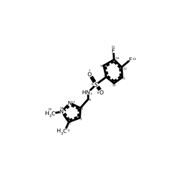 Cc1cc(CNS(=O)(=O)c2ccc(F)c(F)c2)nn1C